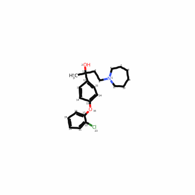 CC(O)(CCN1CCCCCC1)c1ccc(Oc2ccccc2Cl)cc1